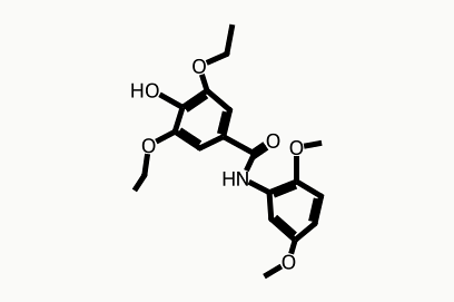 CCOc1cc(C(=O)Nc2cc(OC)ccc2OC)cc(OCC)c1O